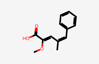 COC(=CC(C)=Cc1ccccc1)C(=O)O